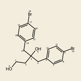 OCCC(O)(Cc1ccc(Br)cc1)Cc1ccc(Br)cc1